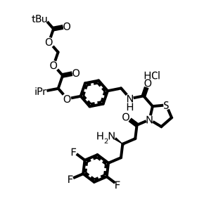 CC(C)C(Oc1ccc(CNC(=O)C2SCCN2C(=O)C[C@H](N)Cc2cc(F)c(F)cc2F)cc1)C(=O)OCOC(=O)C(C)(C)C.Cl